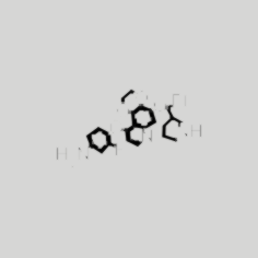 CCC(Oc1cc2nccc(Oc3ccc(N)cc3F)c2c2c1OCCO2)C1CCCNC1